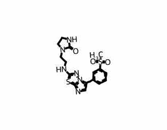 CS(=O)(=O)c1cccc(-c2cnc3sc(NCCN4CCNC4=O)nn23)c1